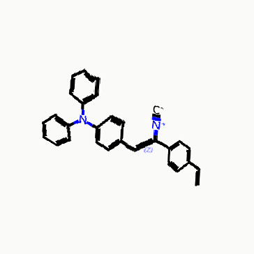 [C-]#[N+]/C(=C\c1ccc(N(c2ccccc2)c2ccccc2)cc1)c1ccc(C=C)cc1